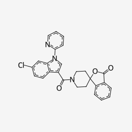 O=C1OC2(CCN(C(=O)c3cn(-c4ccccn4)c4cc(Cl)ccc34)CC2)c2ccccc21